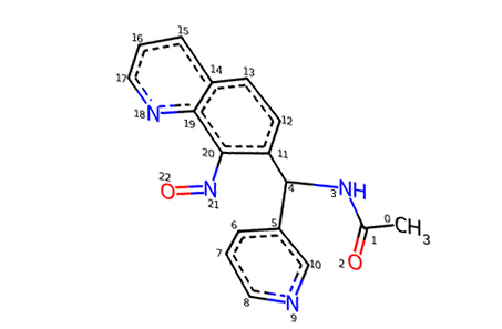 CC(=O)NC(c1cccnc1)c1ccc2cccnc2c1N=O